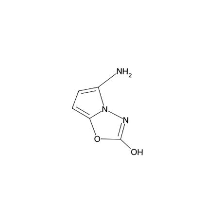 Nc1ccc2oc(O)nn12